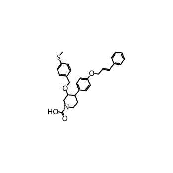 CSc1ccc(COC2CN(C(=O)O)CCC2c2ccc(OCC=Cc3ccccc3)cc2)cc1